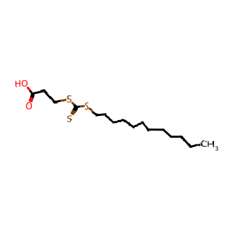 CCCCCCCCCCCCSC(=S)SCCC(=O)O